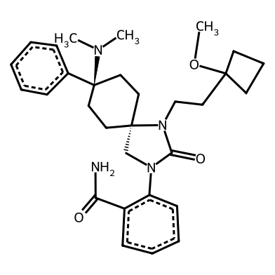 COC1(CCN2C(=O)N(c3ccccc3C(N)=O)C[C@]23CC[C@](c2ccccc2)(N(C)C)CC3)CCC1